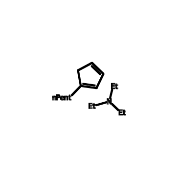 CCCCCC1=CC=CC1.CCN(CC)CC